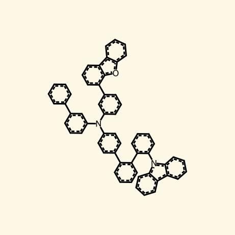 c1ccc(-c2cccc(N(c3ccc(-c4ccccc4-c4ccccc4-n4c5ccccc5c5ccccc54)cc3)c3cccc(-c4cccc5c4oc4ccccc45)c3)c2)cc1